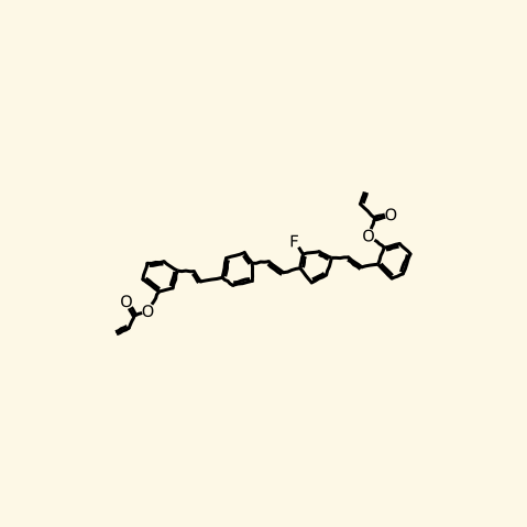 C=CC(=O)Oc1cccc(/C=C/c2ccc(/C=C/c3ccc(/C=C/c4ccccc4OC(=O)C=C)cc3F)cc2)c1